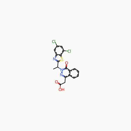 CC(c1nc2cc(Cl)cc(Cl)c2s1)n1nc(CC(=O)O)c2ccccc2c1=O